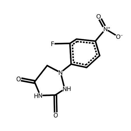 O=C1CN(c2ccc([N+](=O)[O-])cc2F)NC(=O)N1